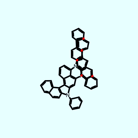 c1ccc(-c2ccc(N(c3ccccc3)c3cccc4c3c(N(c3ccccc3)c3ccc(-c5ccccc5)cc3)cc3c4c4c5ccccc5ccc4n3-c3ccccc3)cc2)cc1